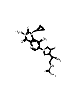 Cc1c(N2CC(F)C(C(N)CNC(N)=O)C2)cnc2c(=O)n(N)c(=O)n(C3CC3)c12